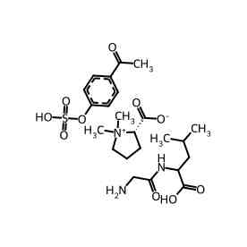 CC(=O)c1ccc(OS(=O)(=O)O)cc1.CC(C)CC(NC(=O)CN)C(=O)O.C[N+]1(C)CCC[C@H]1C(=O)[O-]